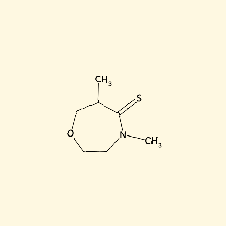 CC1COCCN(C)C1=S